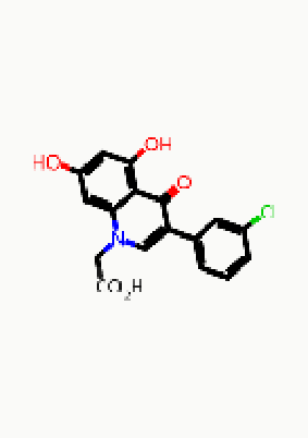 O=C(O)Cn1cc(-c2cccc(Cl)c2)c(=O)c2c(O)cc(O)cc21